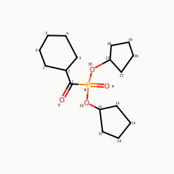 O=C(C1CCCCC1)P(=O)(OC1CCCC1)OC1CCCC1